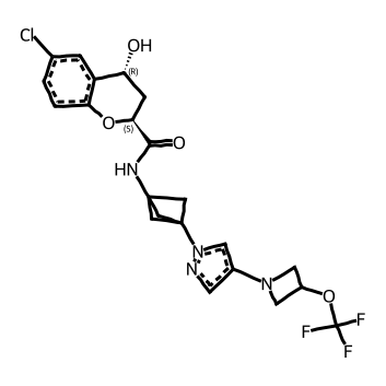 O=C(NC12CC(n3cc(N4CC(OC(F)(F)F)C4)cn3)(C1)C2)[C@@H]1C[C@@H](O)c2cc(Cl)ccc2O1